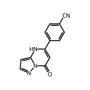 N#Cc1ccc(-c2cc(=O)n3nccc3[nH]2)cc1